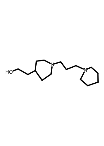 OCCC1CCN(CCCN2CCCCC2)CC1